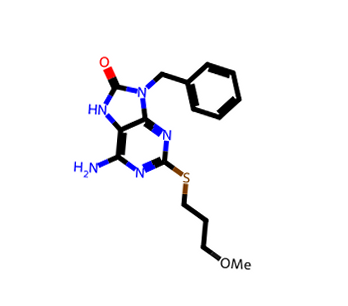 COCCCSc1nc(N)c2[nH]c(=O)n(Cc3ccccc3)c2n1